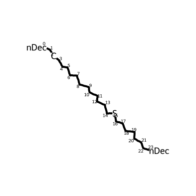 CCCCCCCCCCCCCCCCCCCCCCCCSCCCCCCCCCCCCCCCCC